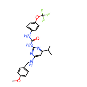 COc1ccc(CNc2cc(C(C)C)nc(NC(=O)Nc3ccc(OC(F)(F)F)cc3)n2)cc1